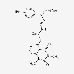 CS/C=C(\N=C\NC(=O)Cc1cccc2c1c(=O)n(C)c(=O)n2C)c1ccc(C(C)C)cc1